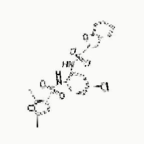 Cc1cc(S(=O)(=O)Nc2ccc(Cl)cc2NS(=O)(=O)c2cc3ccccc3o2)c(C)o1